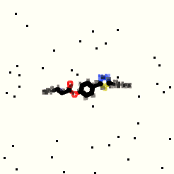 CCC/C=C/C(=O)Oc1ccc(-c2nnc(CCCCCC)s2)cc1